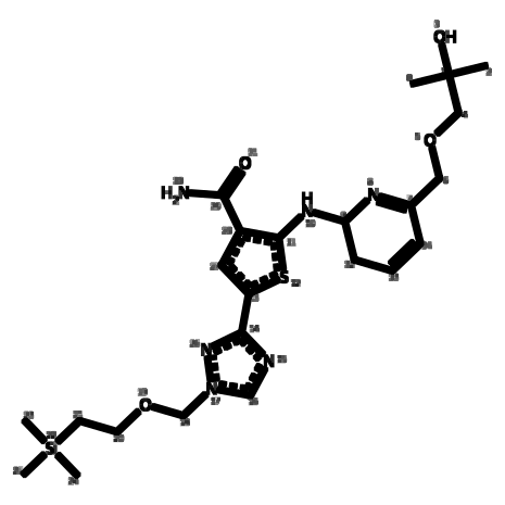 CC(C)(O)COCC1=NC(Nc2sc(-c3ncn(COCC[Si](C)(C)C)n3)cc2C(N)=O)CC=C1